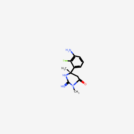 CN1C(=N)N[C@](C)(c2cccc(N)c2F)CC1=O